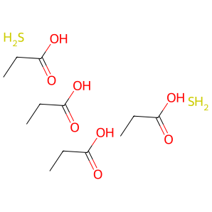 CCC(=O)O.CCC(=O)O.CCC(=O)O.CCC(=O)O.S.S